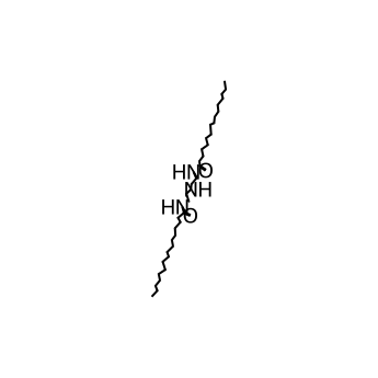 CCCCCCCCCCCCCCCC(=O)NCCNCCNC(=O)CCCCCCCCCCCCCCC